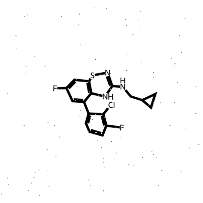 Fc1cc2c(c(-c3cccc(F)c3Cl)c1)NC(NCC1CC1)=NS2